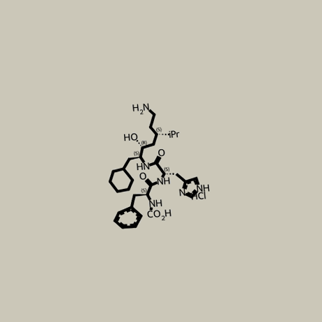 CC(C)[C@@H](CCN)C[C@@H](O)[C@H](CC1CCCCC1)NC(=O)[C@H](Cc1c[nH]cn1)NC(=O)[C@H](Cc1ccccc1)NC(=O)O.Cl